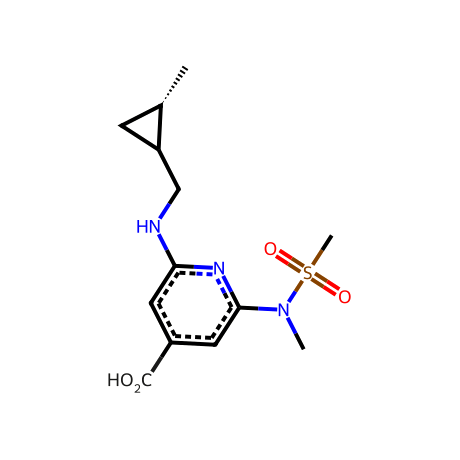 C[C@H]1CC1CNc1cc(C(=O)O)cc(N(C)S(C)(=O)=O)n1